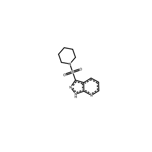 O=S(=O)(c1n[nH]c2ncccc12)N1CCCCC1